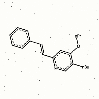 CCCCc1cnc(C=Cc2ccccc2)cc1OCCC